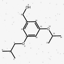 CC(C)COc1cc([CH]O)cc(OC(C)C)c1